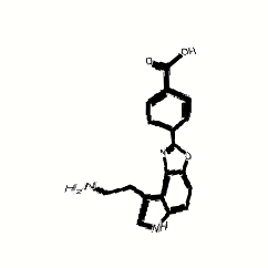 NCCc1c[nH]c2ccc3oc(-c4ccc(C(=O)O)cc4)nc3c12